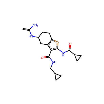 C=C(N)NC1CCc2sc(NC(=O)C3CC3)c(C(=O)NCC3CC3)c2C1